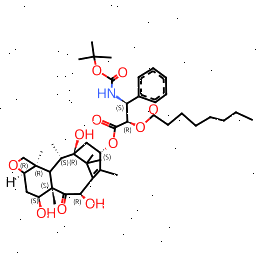 CCCCCCCC(=O)O[C@@H](C(=O)O[C@H]1C[C@@]2(O)[C@@H](C)C3[C@]4(C)CO[C@@H]4C[C@H](O)[C@@]3(C)C(=O)[C@H](O)C(=C1C)C2(C)C)[C@@H](NC(=O)OC(C)(C)C)c1ccccc1